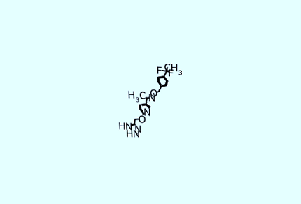 C/C(=N\OCc1ccc(C(C)(F)F)cc1)c1ccc(OCC(=N)N=N)nc1